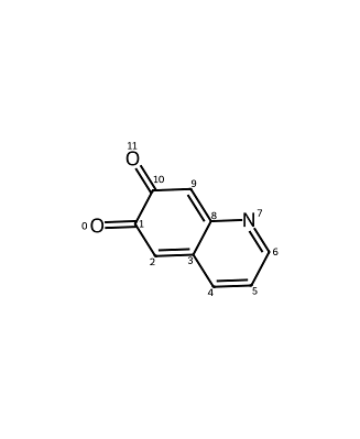 O=C1C=c2cccnc2=CC1=O